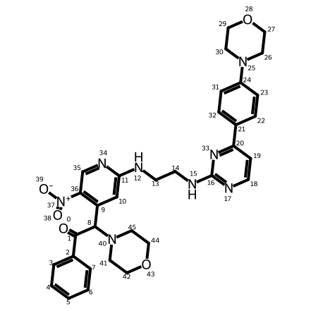 O=C(c1ccccc1)C(c1cc(NCCNc2nccc(-c3ccc(N4CCOCC4)cc3)n2)ncc1[N+](=O)[O-])N1CCOCC1